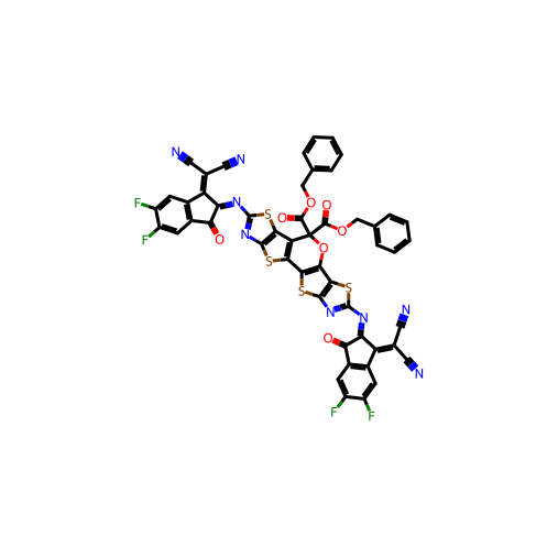 N#CC(C#N)=C1/C(=N/c2nc3sc4c(c3s2)OC(C(=O)OCc2ccccc2)(C(=O)OCc2ccccc2)c2c-4sc3nc(/N=C4\C(=O)c5cc(F)c(F)cc5C4=C(C#N)C#N)sc23)C(=O)c2cc(F)c(F)cc21